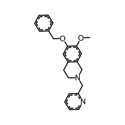 COc1cc2c(cc1OCc1ccccc1)CCN(Cc1ccccn1)C2